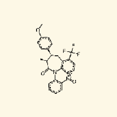 COc1ccc([C@H]2Cc3c(cccc3C(F)(F)F)N(c3ccccc3[N+](=O)[O-])C(=O)[C@H]2C)cc1